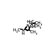 CCNc1cnc(NC(=O)C(C)(C)C)c(C)c1